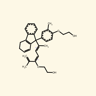 C=C(C)/C(=C\C=C(/C)C1(c2ccc(OCCO)c(C)c2)C2=C(CCC=C2)c2ccccc21)OCCO